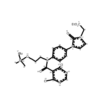 CCOC(=O)Cn1ccn(-c2ccc(N(CCO[Si](C)(C)C(C)(C)C)C(=O)c3c(Cl)ncnc3Cl)cc2)c1=O